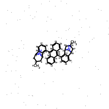 CC1CC2NC(C1)c1c(-c3c4ccccc4c(-c4cccc5c4C4CC(C)CC5N4)c4ccccc34)cccc12